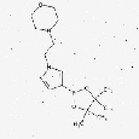 CC1(C)OB(c2cnn(CCN3CCOCC3)c2)OC1(C)C